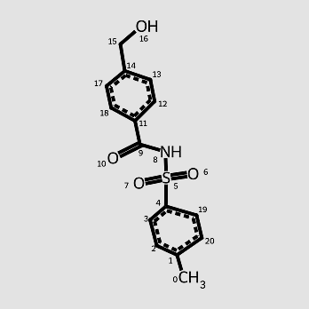 Cc1ccc(S(=O)(=O)NC(=O)c2ccc(CO)cc2)cc1